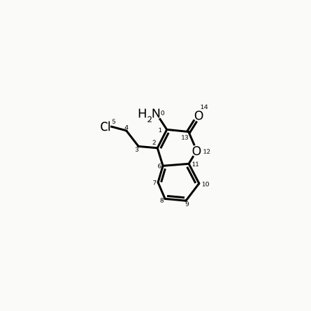 Nc1c(CCCl)c2ccccc2oc1=O